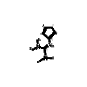 CN(C)C(=NC1=CCC=C1)N(C)C